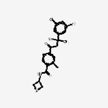 CCC(CC(=O)c1ccc(C(=O)NC2CSC2)c(C)c1)(c1cc(Cl)cc(Cl)c1)C(F)(F)F